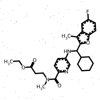 CCOC(=O)CCN(C)C(=O)c1ccc(NC(c2oc3ccc(F)cc3c2C)C2CCCCC2)cn1